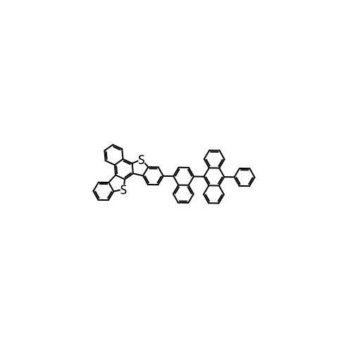 c1ccc(-c2c3ccccc3c(-c3ccc(-c4ccc5c(c4)sc4c6ccccc6c6c7ccccc7sc6c54)c4ccccc34)c3ccccc23)cc1